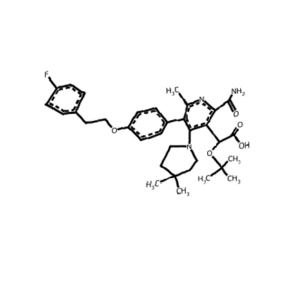 Cc1nc(C(N)=O)c(C(OC(C)(C)C)C(=O)O)c(N2CCC(C)(C)CC2)c1-c1ccc(OCCc2ccc(F)cc2)cc1